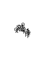 COC(=N)C(CN1Cc2c(ccnc2NC(=O)C(C)C)C1=O)[C@@H]1C=C1OCC(F)(F)F